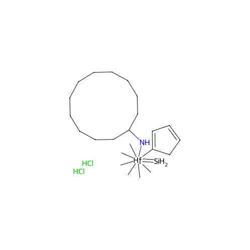 Cl.Cl.[CH3][Hf]([CH3])([CH3])([CH3])([CH3])([CH3])(=[SiH2])([NH]C1CCCCCCCCCCC1)[C]1=CC=CC1